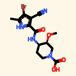 CO[C@H]1CN(C(=O)O)CC[C@H]1NC(=O)c1[nH]c(C)c(Br)c1C#N